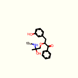 CC(C)(C)NC(C)(O)COC(Cc1cccc(O)c1)C(=O)c1ccccc1